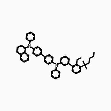 CCCCC(C)(C)c1cccc(-c2cccc(N(c3ccccc3)c3ccc(-c4ccc(N(c5ccccc5)c5cccc6ccccc56)cc4)cc3)c2)c1CC